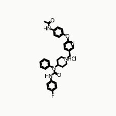 CC(=O)Nc1ccc(Oc2ccc(CN3CCC(N(C(=O)Nc4ccc(F)cc4)c4ccccc4)CC3)cn2)cc1.Cl